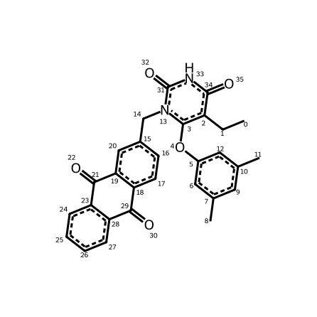 CCc1c(Oc2cc(C)cc(C)c2)n(Cc2ccc3c(c2)C(=O)c2ccccc2C3=O)c(=O)[nH]c1=O